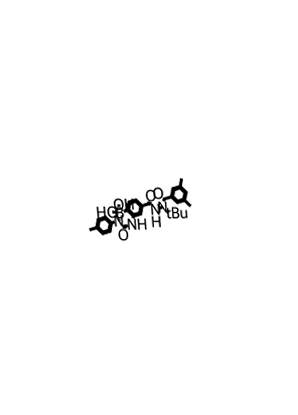 Cc1ccc(N2C(=O)Nc3cc(C(=O)NN(C(=O)c4cc(C)cc(C)c4)C(C)(C)C)ccc3[B-]2(O)O)cc1